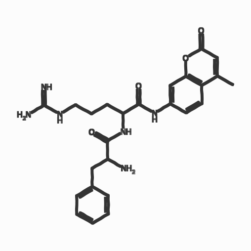 Cc1cc(=O)oc2cc(NC(=O)C(CCCNC(=N)N)NC(=O)C(N)Cc3ccccc3)ccc12